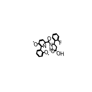 COc1ccccc1-c1nc(C(=O)NC(CC(=O)O)c2ccccc2F)ccc1OC